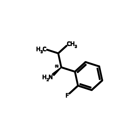 CC(C)[C@H](N)c1ccccc1F